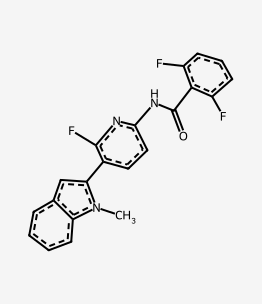 Cn1c(-c2ccc(NC(=O)c3c(F)cccc3F)nc2F)cc2ccccc21